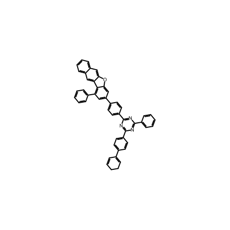 C1=CC(c2ccc(-c3nc(-c4ccccc4)nc(-c4ccc(-c5cc(-c6ccccc6)c6c(c5)oc5cc7ccccc7cc56)cc4)n3)cc2)=CCC1